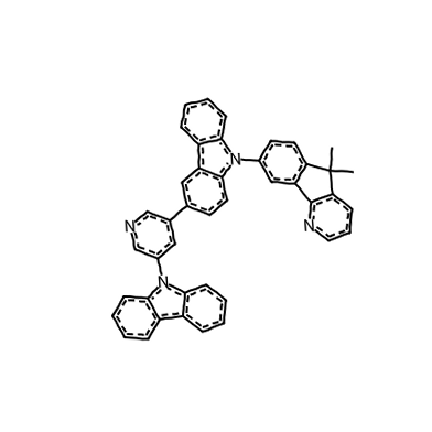 CC1(C)c2ccc(-n3c4ccccc4c4cc(-c5cncc(-n6c7ccccc7c7ccccc76)c5)ccc43)cc2-c2ncccc21